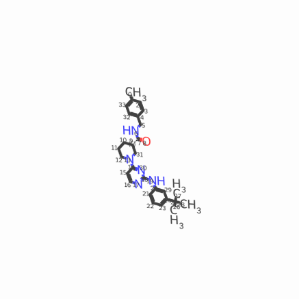 Cc1ccc(CNC(=O)[C@H]2CCCN(c3ccnc(Nc4cccc(C(C)(C)C)c4)n3)C2)cc1